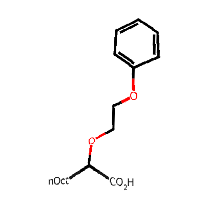 CCCCCCCCC(OCCOc1ccccc1)C(=O)O